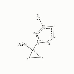 CCc1cccc(C2(NC)CC2)c1